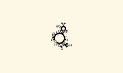 CC[C@@H]1OC(=O)C(C)(F)C(=O)[C@@H](C)[C@H](O[C@@H]2O[C@H](C)C[C@H](N(C)C)[C@@H]2O)C(C)(OC)C[C@H](C)C(=O)[C@H](C)[C@H]2N(C3CNC3)C(=O)O[C@@]12C